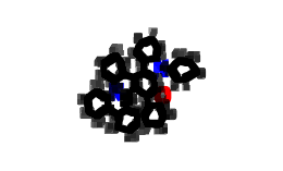 c1ccc(-n2c3ccccc3c3c4c(c5c6ccccc6oc5c32)B2c3ccccc3-c3ccccc3N2c2ccccc2-4)cc1